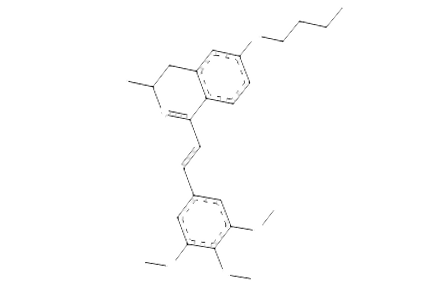 CCCCOc1ccc2c(c1)CC(I)N=C2C=Cc1cc(OC)c(OC)c(OC)c1